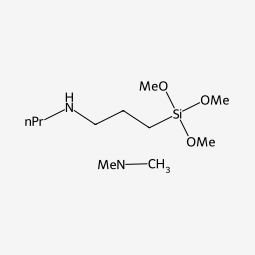 CCCNCCC[Si](OC)(OC)OC.CNC